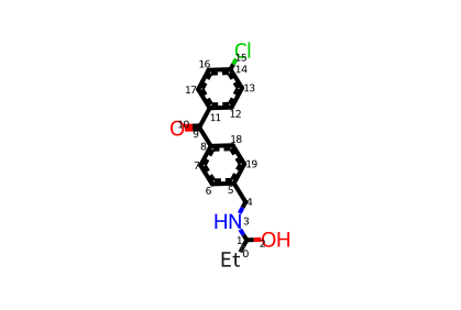 CCC(O)NCc1ccc(C(=O)c2ccc(Cl)cc2)cc1